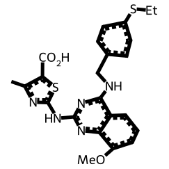 CCSc1ccc(CNc2nc(Nc3nc(C)c(C(=O)O)s3)nc3c(OC)cccc23)cc1